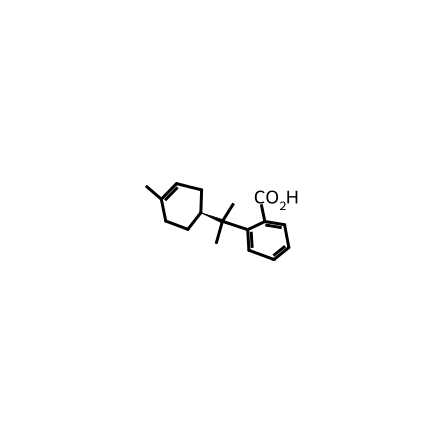 CC1=CC[C@@H](C(C)(C)c2ccccc2C(=O)O)CC1